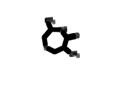 CC1CSCC(C)C(=O)N1